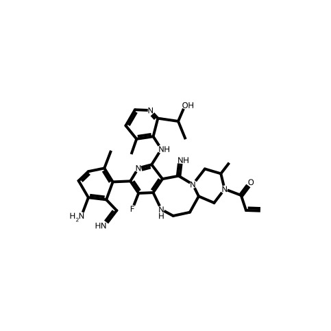 C=CC(=O)N1CC2CCNc3c(F)c(-c4c(C)ccc(N)c4C=N)nc(Nc4c(C)ccnc4C(C)O)c3C(=N)N2CC1C